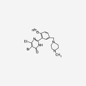 CCCOc1ccc(CN2CCN(C)CC2)cc1-c1nc(CC)c(Br)c(=O)[nH]1